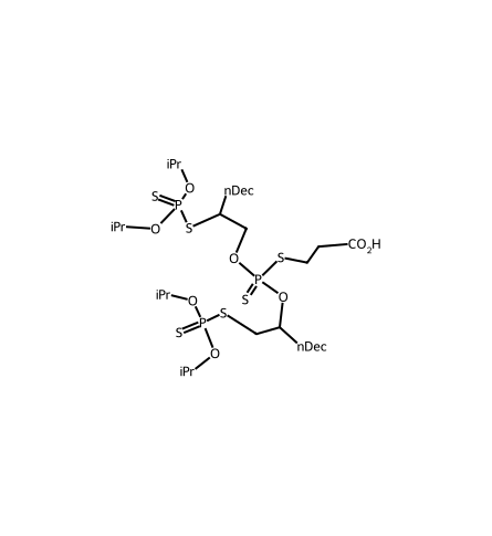 CCCCCCCCCCC(CSP(=S)(OC(C)C)OC(C)C)OP(=S)(OCC(CCCCCCCCCC)SP(=S)(OC(C)C)OC(C)C)SCCC(=O)O